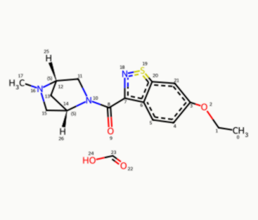 CCOc1ccc2c(C(=O)N3C[C@@H]4C[C@H]3CN4C)nsc2c1.O=CO